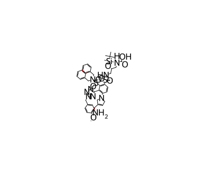 COc1ccc(Cn2nnc(-c3c(N4CC=C(CN)C4)ccc(S(=O)(=O)NCC(CNC(=O)O)O[Si](C)(C)C(C)(C)C)c3S(=O)(=O)N(Cc3ccccc3)Cc3ccccc3)n2)cc1